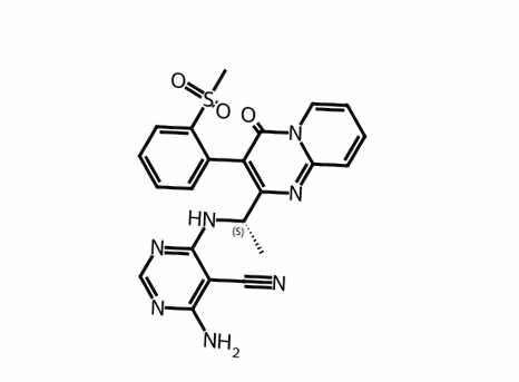 C[C@H](Nc1ncnc(N)c1C#N)c1nc2ccccn2c(=O)c1-c1ccccc1S(C)(=O)=O